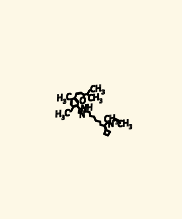 C/C=C\N=C(/C)C(CCCCCCc1ncc(-c2cc(/C=C\C(=O)C(C)CC)c(C)cc2CC)[nH]1)=C1CCC1